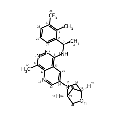 Cc1c([C@@H](C)Nc2nnc(C)c3ncc(N4C[C@@H]5C[C@H]4CO5)cc23)cccc1C(F)(F)F